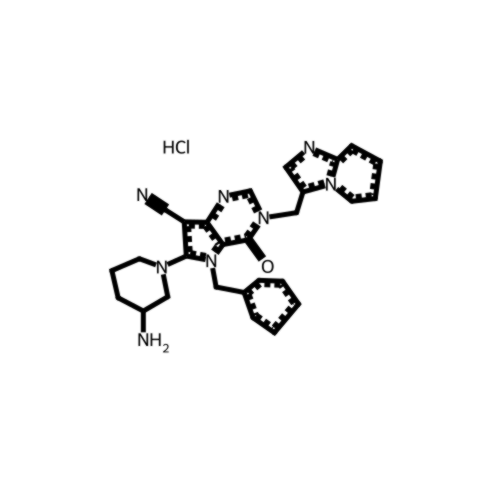 Cl.N#Cc1c(N2CCCC(N)C2)n(Cc2ccccc2)c2c(=O)n(Cc3cnc4ccccn34)cnc12